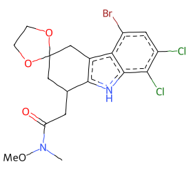 CON(C)C(=O)CC1CC2(Cc3c1[nH]c1c(Cl)c(Cl)cc(Br)c31)OCCO2